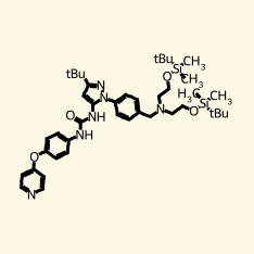 CC(C)(C)c1cc(NC(=O)Nc2ccc(Oc3ccncc3)cc2)n(-c2ccc(CN(CCO[Si](C)(C)C(C)(C)C)CCO[Si](C)(C)C(C)(C)C)cc2)n1